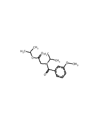 COc1cccc(C(=O)N(CC(=O)OC(C)C)C(C)C)c1